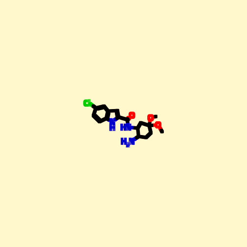 COC1(OC)CCC(N)C(NC(=O)c2cc3cc(Cl)ccc3[nH]2)C1